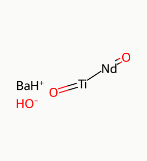 [BaH+].[OH-].[O]=[Ti][Nd]=[O]